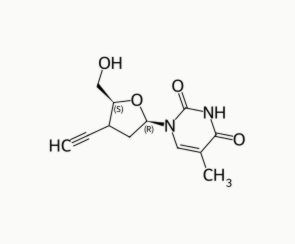 C#CC1C[C@H](n2cc(C)c(=O)[nH]c2=O)O[C@@H]1CO